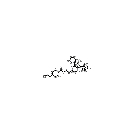 O=CCC1CCN(C(=O)CCCc2cccc(C3(C(=O)OC4CN5CCC4CC5)CCCCC3)c2)CC1